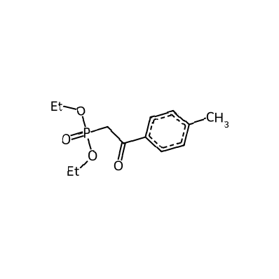 CCOP(=O)(CC(=O)c1ccc(C)cc1)OCC